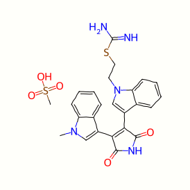 CS(=O)(=O)O.Cn1cc(C2=C(c3cn(CCSC(=N)N)c4ccccc34)C(=O)NC2=O)c2ccccc21